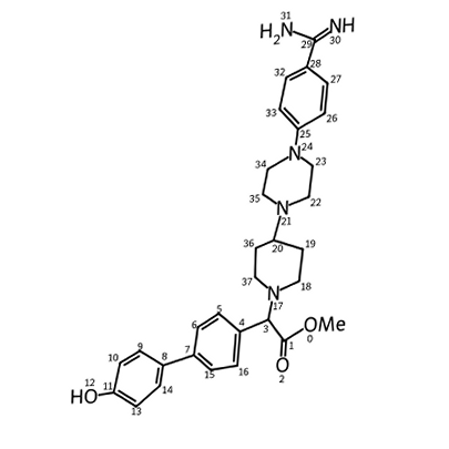 COC(=O)C(c1ccc(-c2ccc(O)cc2)cc1)N1CCC(N2CCN(c3ccc(C(=N)N)cc3)CC2)CC1